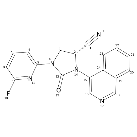 N#C[C@H]1CN(c2cccc(F)n2)C(=O)N1c1cncc2ccccc12